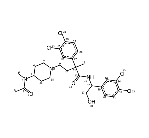 CC(=O)N(C)C1CCN(CCC(C)(C(=O)NC(CO)c2ccc(Cl)c(Cl)c2)c2ccc(Cl)c(Cl)c2)CC1